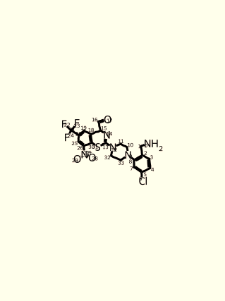 NCc1ccc(Cl)cc1N1CCN(C2=NC(C=O)c3cc(C(F)(F)F)cc([N+](=O)[O-])c3S2)CC1